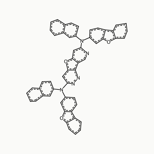 c1ccc2cc(N(c3ccc4c(c3)oc3ccccc34)c3cc4oc5cc(N(c6ccc7ccccc7c6)c6ccc7c(c6)oc6ccccc67)nnc5c4cn3)ccc2c1